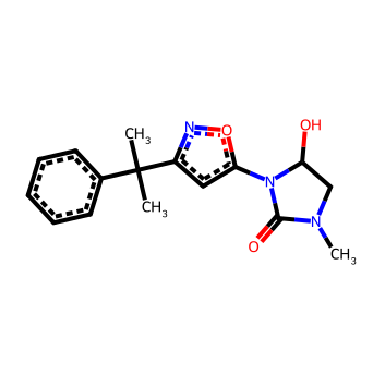 CN1CC(O)N(c2cc(C(C)(C)c3ccccc3)no2)C1=O